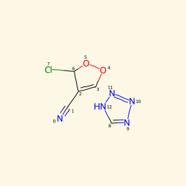 N#CC1=COOC1Cl.c1nnn[nH]1